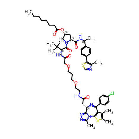 CCCCCCCC(=O)O[C@@H]1C[C@@H](C(=O)N[C@@H](C)c2ccc(-c3scnc3C)cc2)N(C(=O)[C@@H](NC(=O)COCCCOCCNC(=O)C[C@@H]2N=C(c3ccc(Cl)cc3)c3c(sc(C)c3C)-n3c(C)nnc32)C(C)(C)C)C1